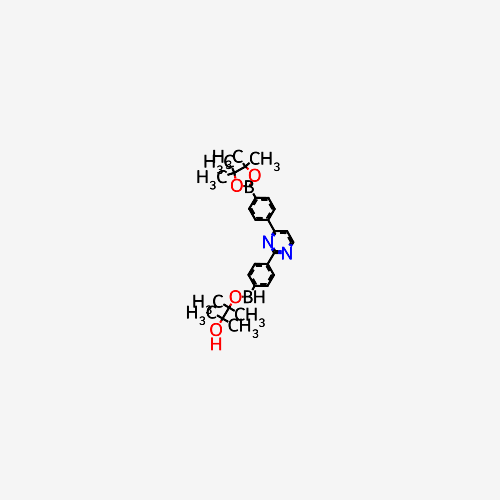 CC(C)(O)C(C)(C)OBc1ccc(-c2nccc(-c3ccc(B4OC(C)(C)C(C)(C)O4)cc3)n2)cc1